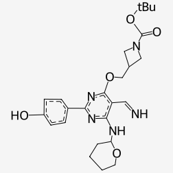 CC(C)(C)OC(=O)N1CC(COc2nc(-c3ccc(O)cc3)nc(NC3CCCCO3)c2C=N)C1